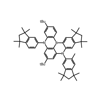 Cc1cc2c(cc1N1c3cc4c(cc3B3c5ccc(C(C)(C)C)cc5N(c5ccc6c(c5)C(C)(C)CC6(C)C)c5cc(C(C)(C)C)cc1c53)C(C)(C)CC4(C)C)C(C)(C)CC2(C)C